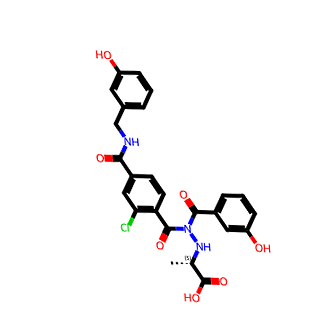 C[C@H](NN(C(=O)c1cccc(O)c1)C(=O)c1ccc(C(=O)NCc2cccc(O)c2)cc1Cl)C(=O)O